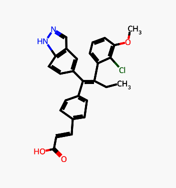 CCC(=C(c1ccc(C=CC(=O)O)cc1)c1ccc2[nH]ncc2c1)c1cccc(OC)c1Cl